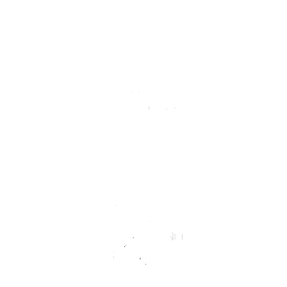 O=C1N[C@H]2[C@@H](CS[C@@H]2CCCCC(=O)OCc2ccccc2)N1